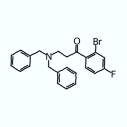 O=C(CCN(Cc1ccccc1)Cc1ccccc1)c1ccc(F)cc1Br